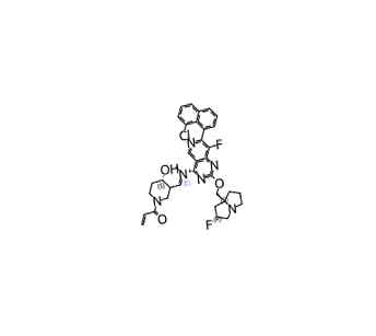 C=CC(=O)N1CC[C@H](O)C(/C=[N+](\C)c2nc(OC[C@@]34CCCN3C[C@H](F)C4)nc3c(F)c(-c4cccc5cccc(Cl)c45)ncc23)C1